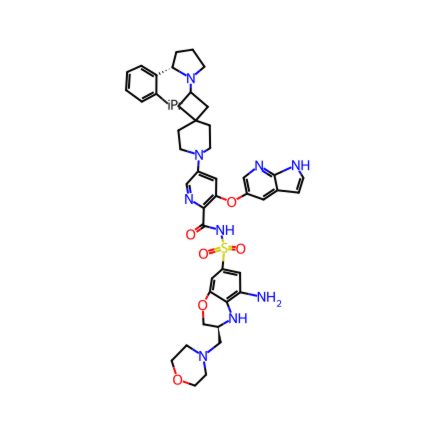 CC(C)c1ccccc1[C@@H]1CCCN1C1CC2(CCN(c3cnc(C(=O)NS(=O)(=O)c4cc(N)c5c(c4)OC[C@H](CN4CCOCC4)N5)c(Oc4cnc5[nH]ccc5c4)c3)CC2)C1